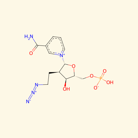 [N-]=[N+]=NCC[C@@H]1[C@H](O)[C@@H](COP(=O)([O-])O)O[C@H]1[n+]1cccc(C(N)=O)c1